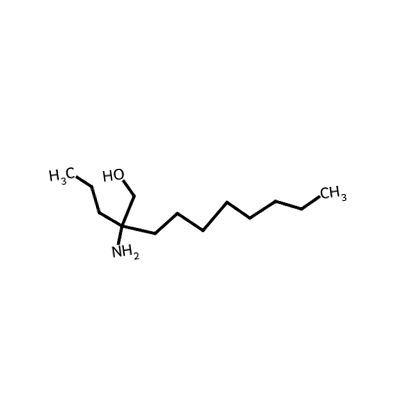 CCCCCCCCC(N)(CO)CCC